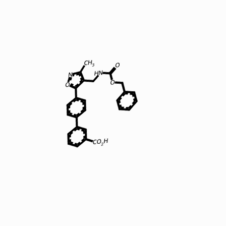 Cc1noc(-c2ccc(-c3cccc(C(=O)O)c3)cc2)c1CNC(=O)OCc1ccccc1